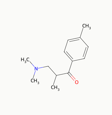 Cc1ccc(C(=O)C(C)CN(C)C)cc1